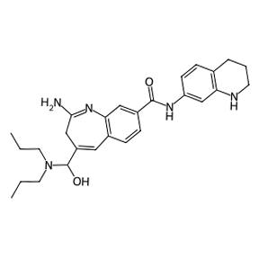 CCCN(CCC)C(O)C1=Cc2ccc(C(=O)Nc3ccc4c(c3)NCCC4)cc2N=C(N)C1